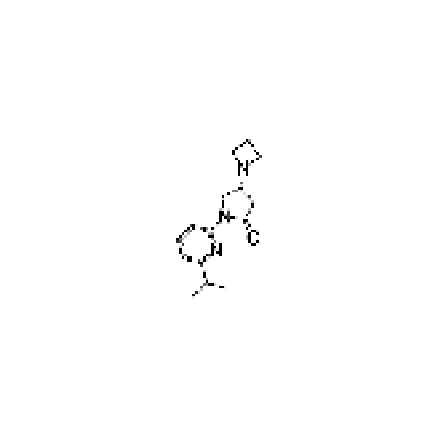 CC(C)c1cccc(N2C[C@H](N3CCC3)CC2=O)n1